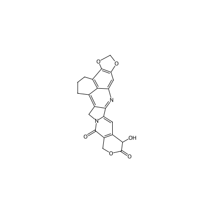 O=C1OCc2c(cc3n(c2=O)Cc2c-3nc3cc4c(c5c3c2CCC5)OCO4)C1O